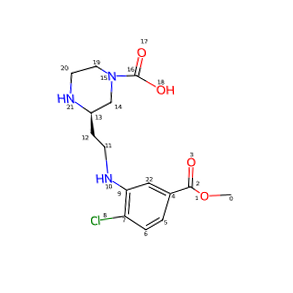 COC(=O)c1ccc(Cl)c(NCC[C@@H]2CN(C(=O)O)CCN2)c1